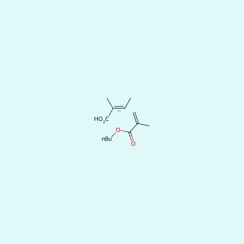 C/C=C(\C)C(=O)O.C=C(C)C(=O)OCCCC